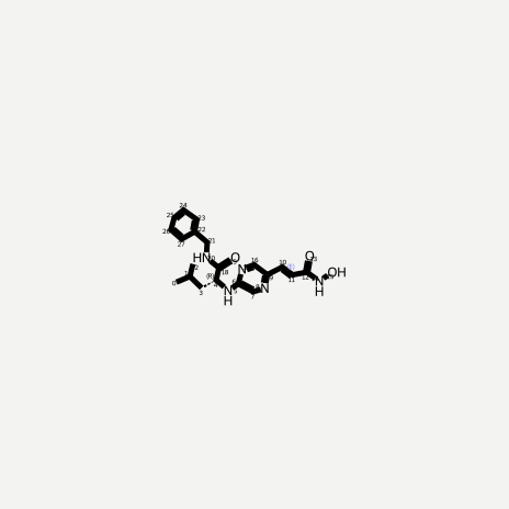 CC(C)C[C@@H](Nc1cnc(/C=C/C(=O)NO)cn1)C(=O)NCc1ccccc1